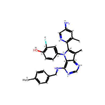 COc1ccc(CNc2ncnc3c(C)c(-c4ncc(N)cc4C)n(-c4ccc(O)c(F)c4)c23)cc1